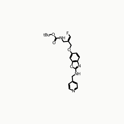 CC(C)(C)OC(=O)NC/C(=C\F)COc1ccc2nc(NCc3ccncc3)oc2c1